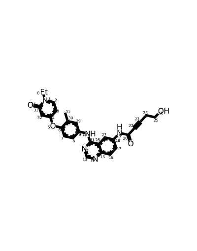 CCn1ccc(Oc2ccc(Nc3ncnc4ccc(NC(=O)C#CCCO)cc34)cc2C)cc1=O